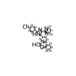 O=C(O)N1CC(c2[nH]c(-c3ccc(Cl)cc3)nc2-c2ncccn2)CCC1c1ccccc1